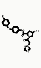 O=C(Nc1ccc(Oc2ccc(F)cc2)cc1)C1CC(O)CN1C(=O)Cn1cncn1